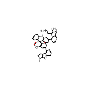 Cc1oc2cccc(-c3ccc4c(c3)OC3CC=CCC3C43c4ccccc4Oc4cc(-c5cccc6oc7c(c56)CCN7)ccc43)c2c1CCN